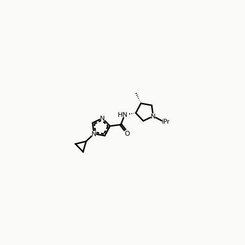 CC(C)N1C[C@@H](C)[C@@H](NC(=O)c2cn(C3CC3)cn2)C1